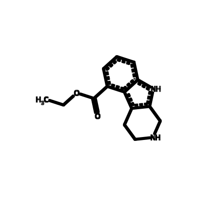 CCOC(=O)c1cccc2[nH]c3c(c12)CCNC3